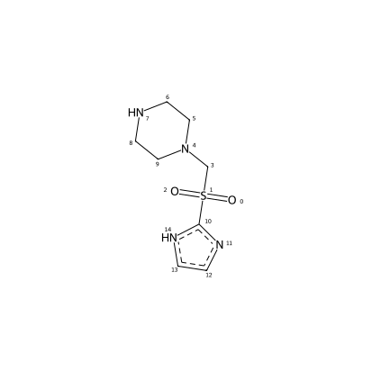 O=S(=O)(CN1CCNCC1)c1ncc[nH]1